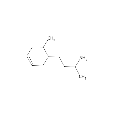 CC(N)CCC1CC=CCC1C